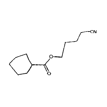 N#CCCCCOC(=O)C1CCCCC1